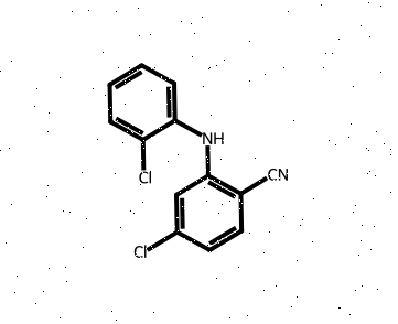 N#Cc1ccc(Cl)cc1Nc1ccccc1Cl